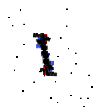 COC(=O)N[C@H](C(=O)N1[C@H](C)[C@H](C)C[C@H]1c1nc2ccc(-c3cnc4cc(-c5ccc6nc([C@@H]7C[C@@H](C)[C@@H](C)N7C(=O)[C@@H](NC(=O)OC)C(C)C)[nH]c6c5)cnc4c3)cc2[nH]1)C(C)C